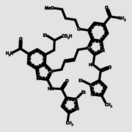 CCC(Cc1cc(C(N)=O)cc2nc(NC(=O)c3cc(C)nn3CC)n(C/C=C/Cn3c(NC(=O)c4cc(C)nn4CC)nc4cc(C(N)=O)cc(OCCCOC)c43)c12)C(=O)O